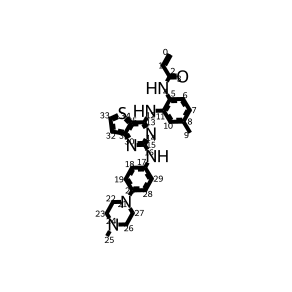 C=CC(=O)Nc1ccc(C)cc1Nc1nc(Nc2ccc(N3CCN(C)CC3)cc2)nc2ccsc12